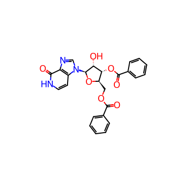 O=C(OC[C@H]1O[C@@H](n2cnc3c(=O)[nH]ccc32)[C@H](O)[C@@H]1OC(=O)c1ccccc1)c1ccccc1